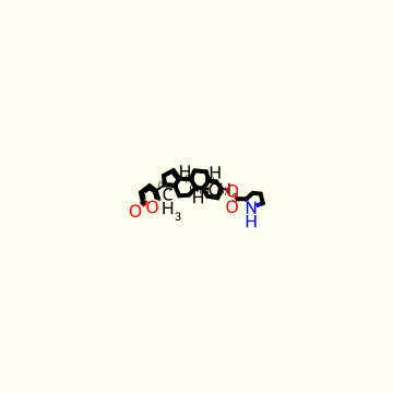 C[C@]12CC[C@H](OC(=O)C3CCCN3)C[C@H]1CC[C@H]1C3=CC[C@H](c4ccc(=O)oc4)[C@@]3(C)CC[C@@H]12